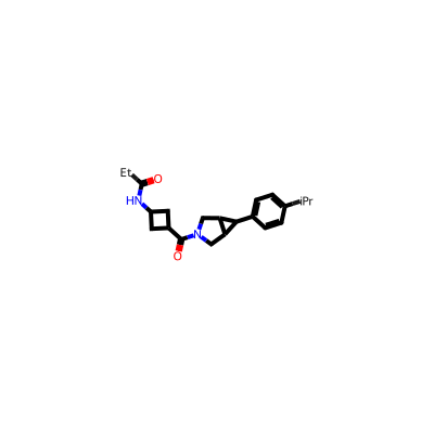 CCC(=O)NC1CC(C(=O)N2CC3C(C2)C3c2ccc(C(C)C)cc2)C1